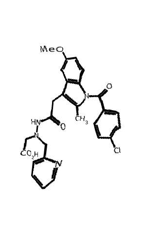 COc1ccc2c(c1)c(CC(=O)NN(CC(=O)O)Cc1ccccn1)c(C)n2C(=O)c1ccc(Cl)cc1